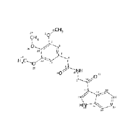 COc1cc(CC(=O)NCC(=O)c2c[nH]c3ccccc23)cc(OC)c1OC